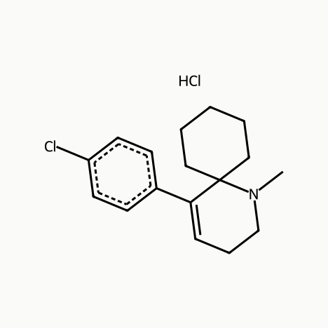 CN1CCC=C(c2ccc(Cl)cc2)C12CCCCC2.Cl